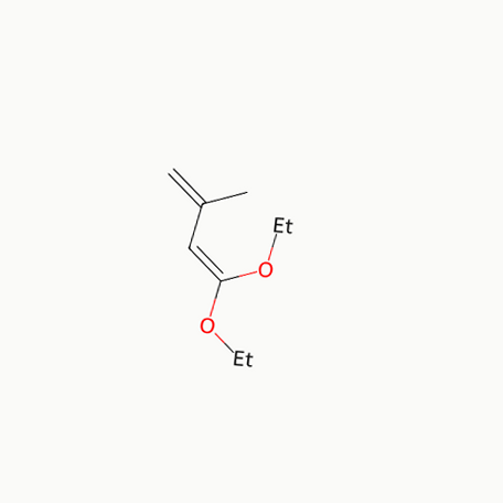 C=C(C)C=C(OCC)OCC